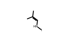 CC(C)=CNI